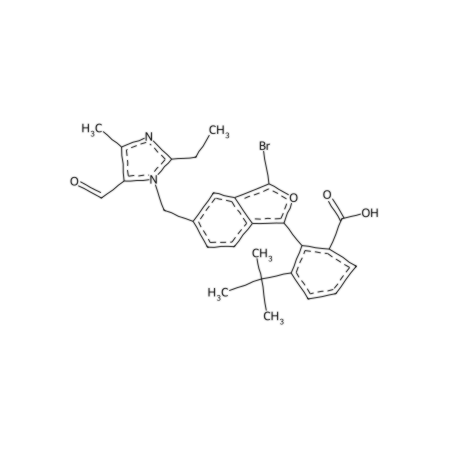 CCc1nc(C)c(C=O)n1Cc1ccc2c(-c3c(C(=O)O)cccc3C(C)(C)C)oc(Br)c2c1